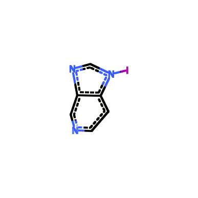 In1cnc2cnccc21